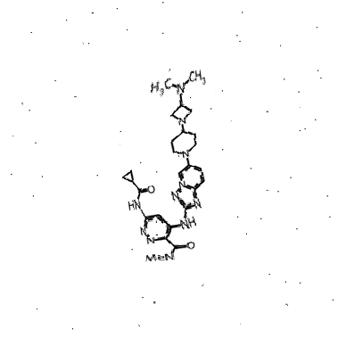 CNC(=O)c1nnc(NC(=O)C2CC2)cc1Nc1nc2ccc(N3CCC(N4CC(N(C)C)C4)CC3)cn2n1